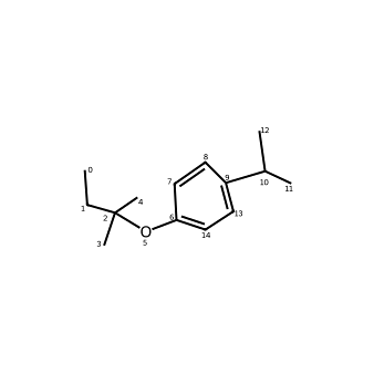 CCC(C)(C)Oc1ccc(C(C)C)cc1